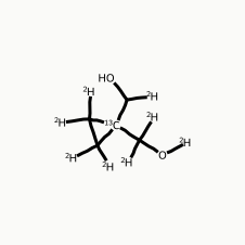 [2H]OC([2H])([2H])[13C]1(C([2H])O)C([2H])([2H])C1([2H])[2H]